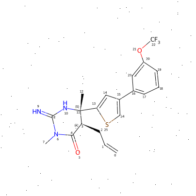 C=CC[C@H]1C(=O)N(C)C(=N)N[C@]1(C)c1cc(-c2cccc(OC(F)(F)F)c2)cs1